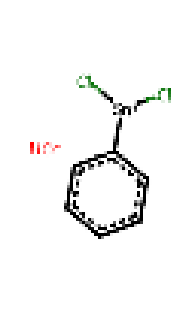 [Cl][Sn+]([Cl])[c]1ccccc1.[OH-]